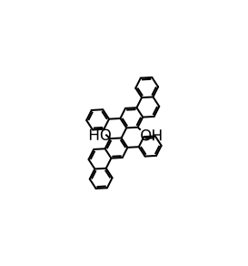 Oc1c(-c2c(-c3ccccc3)cc3c(ccc4ccccc43)c2O)c(-c2ccccc2)cc2c1ccc1ccccc12